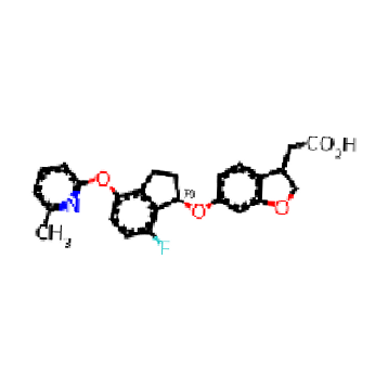 Cc1cccc(Oc2ccc(F)c3c2CC[C@H]3Oc2ccc3c(c2)OCC3CC(=O)O)n1